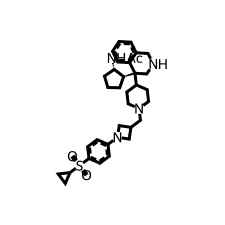 CC(=O)N[C@H]1CCC[C@@H]1C1(C2CCN(CC3CN(c4ccc(S(=O)(=O)C5CC5)cc4)C3)CC2)CNCc2ccccc21